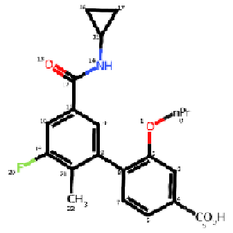 CCCOc1cc(C(=O)O)ccc1-c1cc(C(=O)NC2CC2)cc(F)c1C